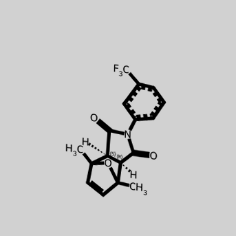 CC12C=CC(C)(O1)[C@H]1C(=O)N(c3cccc(C(F)(F)F)c3)C(=O)[C@H]12